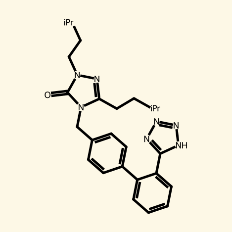 CC(C)CCc1nn(CCC(C)C)c(=O)n1Cc1ccc(-c2ccccc2-c2nnn[nH]2)cc1